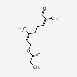 CCC(=O)OCC=C(C)CCC=C(C)C=O